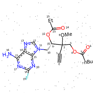 C#CC(COC(=O)CCCC)(OC)[C@H](Cn1cnc2c(N)nc(F)nc21)OC(=O)CC